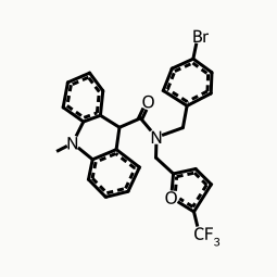 CN1c2ccccc2C(C(=O)N(Cc2ccc(Br)cc2)Cc2ccc(C(F)(F)F)o2)c2ccccc21